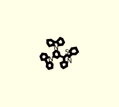 c1ccc2c(-c3cc(-n4c5ccccc5c5ccccc54)cc(-n4c5ccccc5c5ccccc54)c3)c3sc4ccccc4c3nc2c1